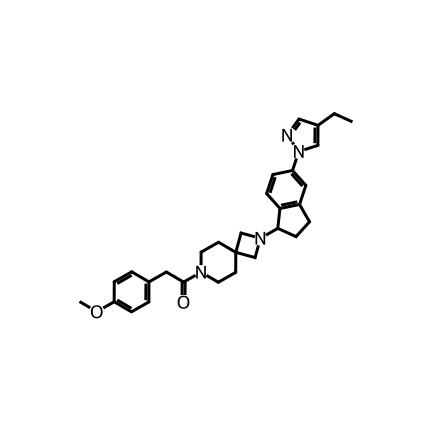 CCc1cnn(-c2ccc3c(c2)CCC3N2CC3(CCN(C(=O)Cc4ccc(OC)cc4)CC3)C2)c1